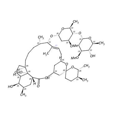 CO[C@H]1C[C@H](O[C@H]2[C@H](C)O[C@@H](O[C@@H]3/C(C)=C/C[C@@H]4C[C@@H](C[C@]5(CC[C@H](C)[C@@H](C)O5)O4)OC(=O)[C@@H]4C[C@@H](C)[C@@H](O)[C@H]5OC[C@@H](CCC[C@@H]3C)[C@]54O)C[C@@H]2OC)O[C@@H](C)[C@@H]1O